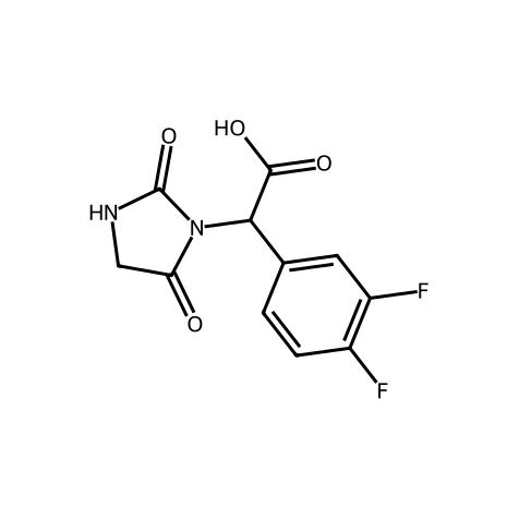 O=C(O)C(c1ccc(F)c(F)c1)N1C(=O)CNC1=O